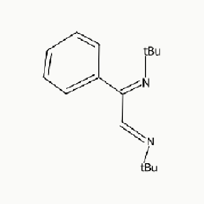 CC(C)(C)/N=C/C(=N/C(C)(C)C)c1ccccc1